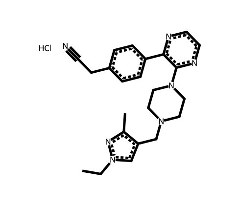 CCn1cc(CN2CCN(c3nccnc3-c3ccc(CC#N)cc3)CC2)c(C)n1.Cl